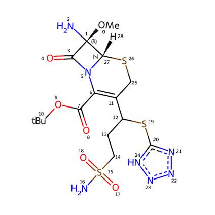 CO[C@]1(N)C(=O)N2C(C(=O)OC(C)(C)C)=C(C(CCS(N)(=O)=O)Sc3nnn[nH]3)CS[C@H]21